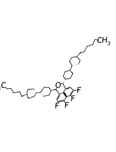 CCCCCC[C@H]1CC[C@H]([C@H]2CC[C@H](C(OC(c3ccc(F)c(F)c3)[C@H]3CC[C@H]([C@H]4CC[C@H](CCCCCC)CC4)CC3)c3ccc(F)c(F)c3)CC2)CC1